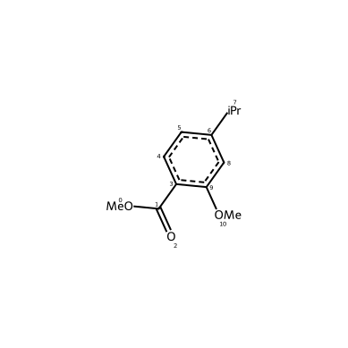 COC(=O)c1ccc(C(C)C)cc1OC